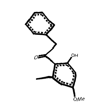 COc1cc(C)c(C(=O)Cc2ccccc2)c(O)c1